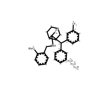 COc1ccccc1CNC1(C(c2ccccc2)c2cccc(C(F)(F)F)c2)CN2CCC1CC2.O.O.O